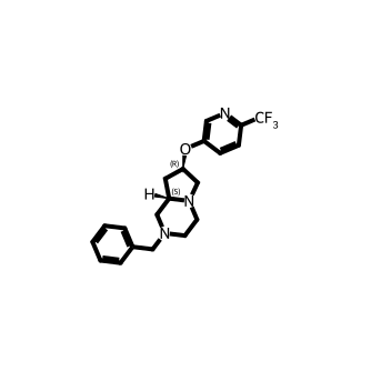 FC(F)(F)c1ccc(O[C@@H]2C[C@H]3CN(Cc4ccccc4)CCN3C2)cn1